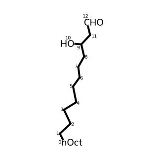 CCCCCCCCCCCCCCCCC(O)CC=O